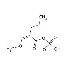 CCCC(=COC)C(=O)OS(=O)(=O)O